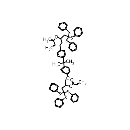 C=CC(=C)OC(CCc1ccc(C(C)(C)c2ccc(OCC(CC(Sc3ccccc3)(Sc3ccccc3)Sc3ccccc3)OC(=O)C=C)cc2)cc1)CC(Sc1ccccc1)(Sc1ccccc1)Sc1ccccc1